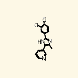 Cc1nc(-c2ccc(Cl)c(Cl)c2)[nH]c1-c1cccnc1